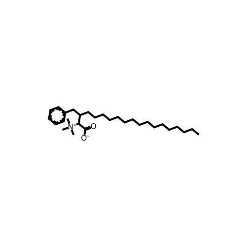 CCCCCCCCCCCCCCCCC(Cc1ccccc1)C(C(=O)[O-])[N+](C)(C)C